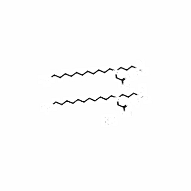 CCCCCCCCCCCCN(CCCS(=O)(=O)[O-])CC(=O)O.CCCCCCCCCCCCN(CCCS(=O)(=O)[O-])CC(=O)O.[Na+].[Na+]